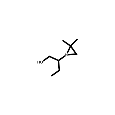 CCC(CO)N1CC1(C)C